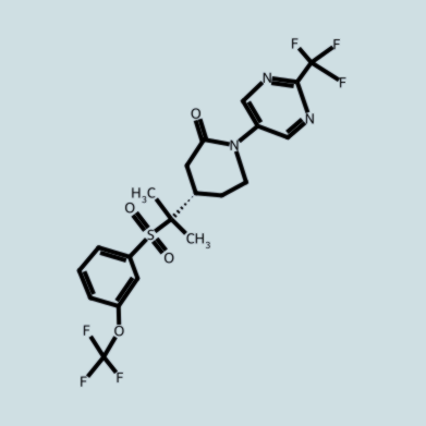 CC(C)([C@H]1CCN(c2cnc(C(F)(F)F)nc2)C(=O)C1)S(=O)(=O)c1cccc(OC(F)(F)F)c1